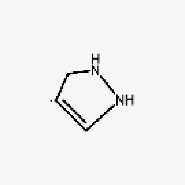 [C]1=CNNC1